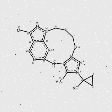 Cc1c2c(nn1C1(C#N)CC1)OCCCn1nc(Cl)c3cnc(nc31)N2